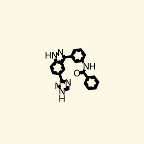 O=C(Nc1cccc(-c2n[nH]c3ccc(-c4nc[nH]n4)cc23)c1)c1ccccc1